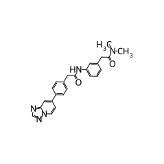 CN(C)C(=O)Cc1cccc(NC(=O)Cc2ccc(-c3ccn4ncnc4c3)cc2)c1